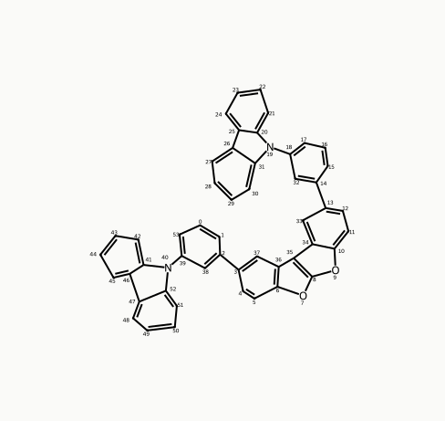 c1cc(-c2ccc3oc4oc5ccc(-c6cccc(-n7c8ccccc8c8ccccc87)c6)cc5c4c3c2)cc(-n2c3ccccc3c3ccccc32)c1